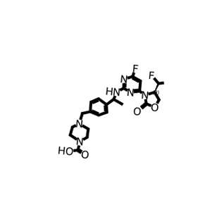 CC(Nc1nc(F)cc(N2C(=O)OC[C@@H]2C(C)F)n1)c1ccc(CN2CCN(C(=O)O)CC2)cc1